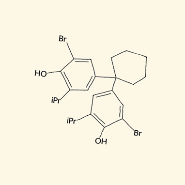 CC(C)c1cc(C2(c3cc(Br)c(O)c(C(C)C)c3)CCCCC2)cc(Br)c1O